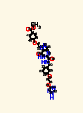 COC(=O)c1ccc(OCCn2ncc3nc(C(=O)NCc4cccc(OCCOc5nc[nH]n5)c4)[nH]c(=O)c32)cc1